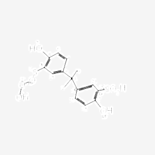 CC(C)(c1ccc(O)c(SOOO)c1)c1ccc(O)c(S(=O)(=O)O)c1